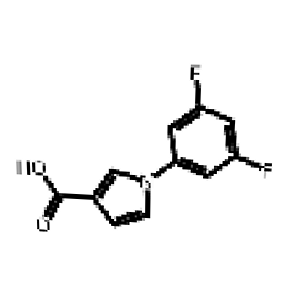 O=C(O)c1ccn(-c2cc(F)cc(F)c2)c1